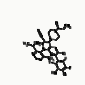 C=CC(=O)N1CCN(c2c(C#N)c(=O)n(-c3c(C)ccnc3C(C)C)c3nc(-c4c(F)c(O)c(Cl)c(F)c4F)c(Cl)cc23)CC1